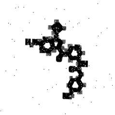 N#Cc1ccc(CC(=O)Nc2cncc(C(=O)c3cn(C45CC(C4)C5)c4nc(N)ncc34)c2)cc1